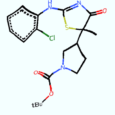 CC(C)(C)OC(=O)N1CCC(C2(C)SC(Nc3ccccc3Cl)=NC2=O)C1